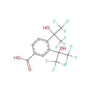 O=C(O)c1ccc(C(O)(C(F)(F)F)C(F)(F)F)c(C(O)(C(F)(F)F)C(F)(F)F)c1